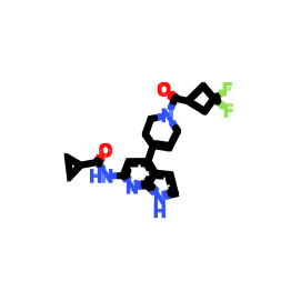 O=C(Nc1cc(C2=CCN(C(=O)C3CC(F)(F)C3)CC2)c2cc[nH]c2n1)C1CC1